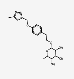 CC1O[C@@H](SCCc2ccc(OCc3cn(C)nn3)cc2)C(O)C(O)[C@@H]1O